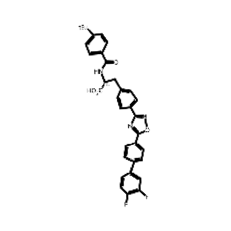 CC(C)(C)c1ccc(C(=O)N[C@@H](Cc2ccc(-c3noc(-c4ccc(-c5ccc(F)c(F)c5)cc4)n3)cc2)C(=O)O)cc1